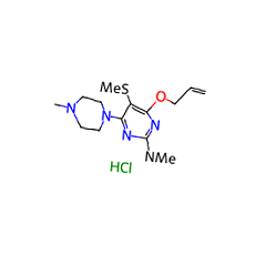 C=CCOc1nc(NC)nc(N2CCN(C)CC2)c1SC.Cl